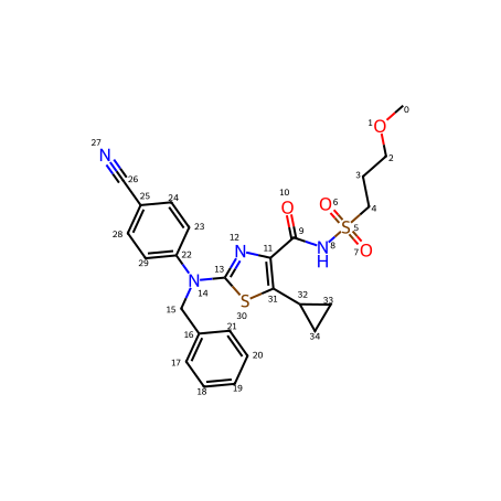 COCCCS(=O)(=O)NC(=O)c1nc(N(Cc2ccccc2)c2ccc(C#N)cc2)sc1C1CC1